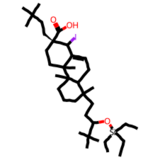 CC[Si](CC)(CC)OC(CCC1(C)CCCC2(C)C1CC=C1C(I)[C@@](CCC(C)(C)C)(C(=O)O)CCC12C)C(C)(C)C